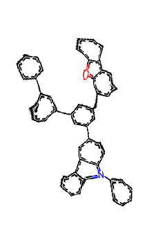 c1ccc(-c2cccc(-c3cc(-c4ccc5c(c4)c4ccccc4n5-c4ccccc4)cc(-c4cccc5c4oc4ccccc45)c3)c2)cc1